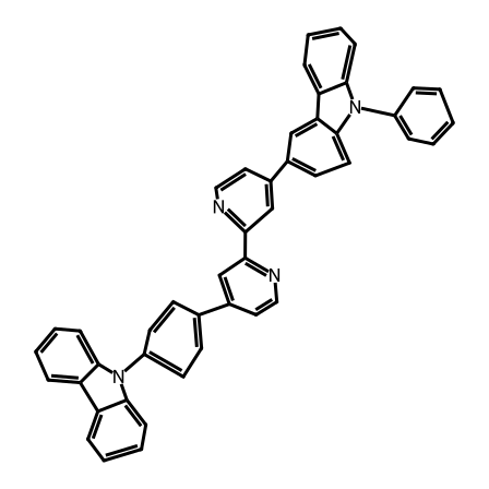 c1ccc(-n2c3ccccc3c3cc(-c4ccnc(-c5cc(-c6ccc(-n7c8ccccc8c8ccccc87)cc6)ccn5)c4)ccc32)cc1